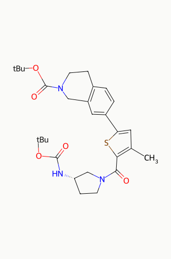 Cc1cc(-c2ccc3c(c2)CN(C(=O)OC(C)(C)C)CC3)sc1C(=O)N1CC[C@H](NC(=O)OC(C)(C)C)C1